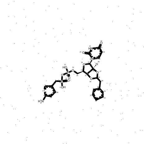 Nc1ccc(CP(=O)(O)OP(=O)(O)OC[C@H]2O[C@@H](n3ccc(=O)[nH]c3=O)[C@H]3OC(Cc4ccccc4)OC23)cc1